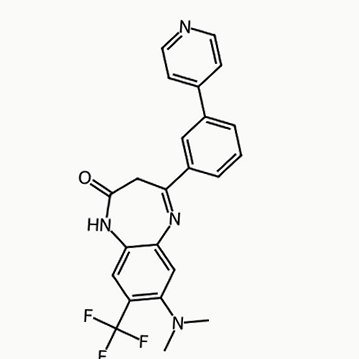 CN(C)c1cc2c(cc1C(F)(F)F)NC(=O)CC(c1cccc(-c3ccncc3)c1)=N2